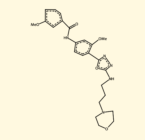 COc1cccc(C(=O)Nc2ccc(-c3nnc(NCCCN4CCOCC4)o3)c(OC)c2)c1